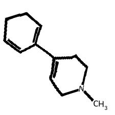 CN1CC=C(C2=CCCC=C2)CC1